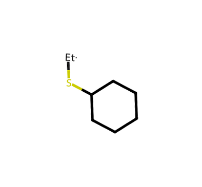 C[CH]SC1CCCCC1